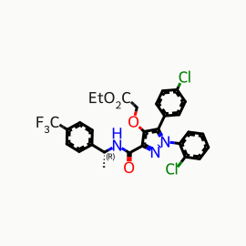 CCOC(=O)COc1c(C(=O)N[C@H](C)c2ccc(C(F)(F)F)cc2)nn(-c2ccccc2Cl)c1-c1ccc(Cl)cc1